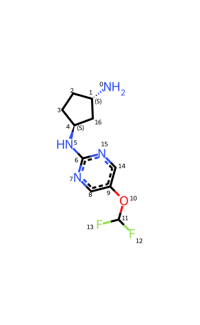 N[C@H]1CC[C@H](Nc2ncc(OC(F)F)cn2)C1